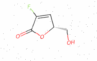 O=C1O[C@@H](CO)C=C1F